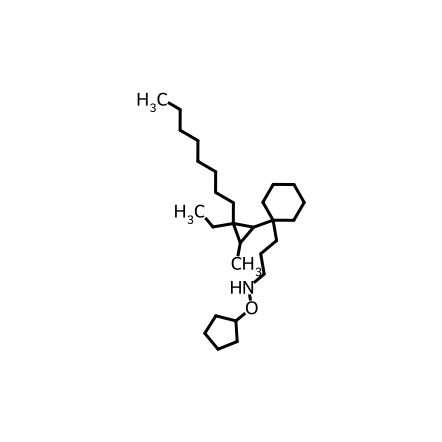 CCCCCCCCC1(CC)C(C)C1C1(CCCNOC2CCCC2)CCCCC1